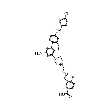 Nc1nc2c(c(N3CCN(CCOCc4cc(C(=O)O)ccc4F)CC3)n1)CCc1cc(OCc3ccc(Cl)cc3)ccc1-2